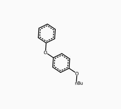 [CH2]CCCOc1ccc(Oc2ccccc2)cc1